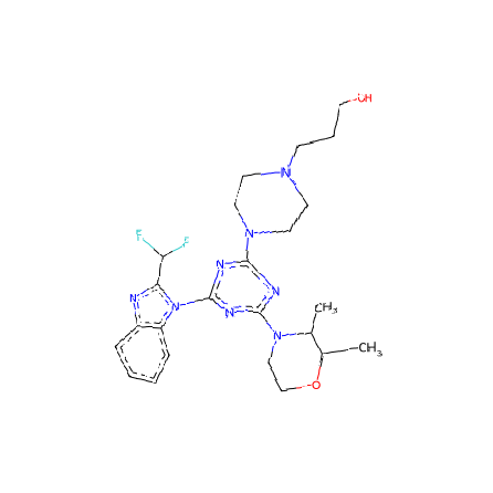 CC1OCCN(c2nc(N3CCN(CCCO)CC3)nc(-n3c(C(F)F)nc4ccccc43)n2)C1C